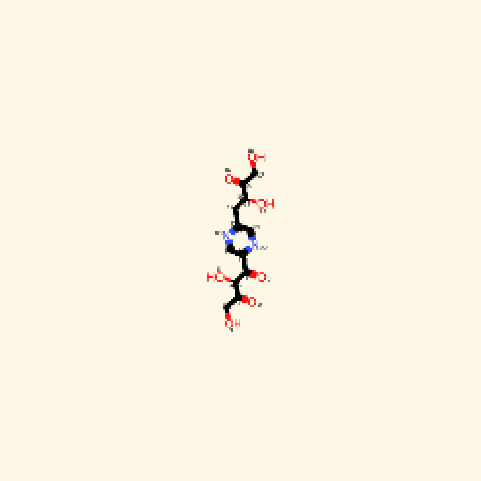 O=C(CO)[C@@H](O)C(=O)c1cnc(C[C@H](O)C(=O)CO)cn1